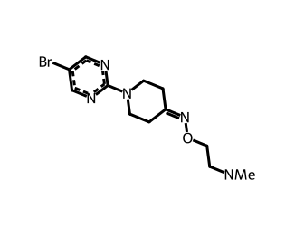 CNCCON=C1CCN(c2ncc(Br)cn2)CC1